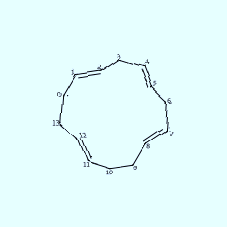 [CH]1/C=C/C/C=C/C/C=C/CC/C=C/C1